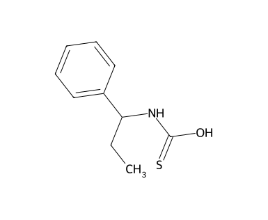 CCC(NC(O)=S)c1ccccc1